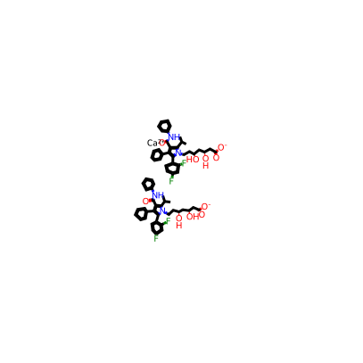 CC(C)c1c(C(=O)Nc2ccccc2)c(-c2ccccc2)c(-c2ccc(F)cc2F)n1CC[C@@H](O)C[C@@H](O)CC(=O)[O-].CC(C)c1c(C(=O)Nc2ccccc2)c(-c2ccccc2)c(-c2ccc(F)cc2F)n1CC[C@@H](O)C[C@@H](O)CC(=O)[O-].[Ca+2]